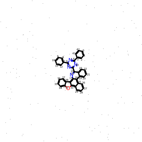 c1ccc(-c2nc(-c3ccccc3)nc(-c3nc4c(c5ccccc35)c3ccccc3c3oc5ccccc5c43)n2)cc1